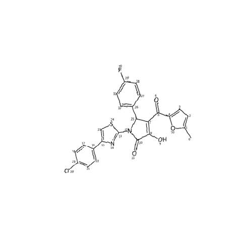 Cc1ccc(C(=O)C2=C(O)C(=O)N(c3nc(-c4ccc(Cl)cc4)cs3)C2c2ccc(F)cc2)o1